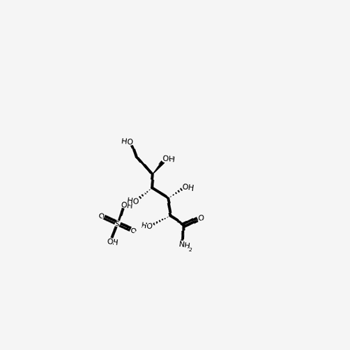 NC(=O)[C@H](O)[C@@H](O)[C@H](O)[C@H](O)CO.O=S(=O)(O)O